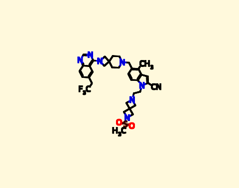 Cc1c(CN2CCC3(CC2)CN(c2ncnc4ccc(CC(F)(F)F)cc24)C3)ccc2c1cc(C#N)n2CCN1CC2(C1)CN(S(C)(=O)=O)C2